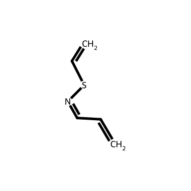 C=C/C=N\SC=C